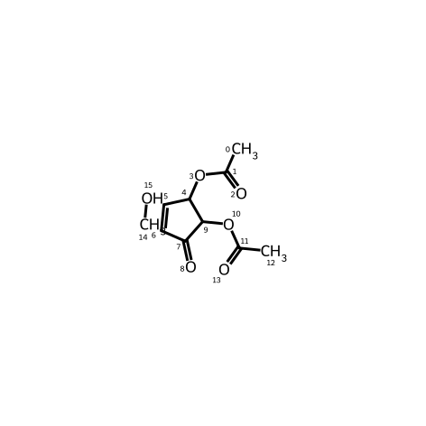 CC(=O)OC1C=CC(=O)C1OC(C)=O.CO